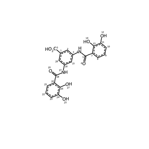 O=C(O)c1cc(NC(=O)c2cccc(O)c2O)cc(NC(=O)c2cccc(O)c2O)c1